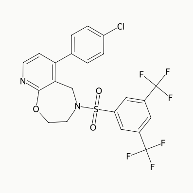 O=S(=O)(c1cc(C(F)(F)F)cc(C(F)(F)F)c1)N1CCOc2nccc(-c3ccc(Cl)cc3)c2C1